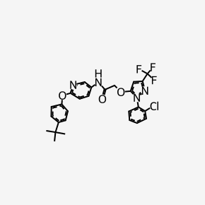 CC(C)(C)c1ccc(Oc2ccc(NC(=O)COc3cc(C(F)(F)F)nn3-c3ccccc3Cl)cn2)cc1